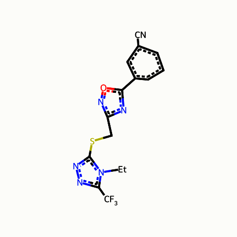 CCn1c(SCc2noc(-c3cccc(C#N)c3)n2)nnc1C(F)(F)F